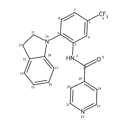 O=C(Nc1cc(C(F)(F)F)ccc1N1CCc2ccccc21)c1ccncc1